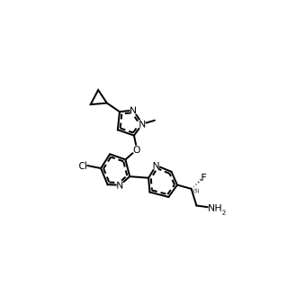 Cn1nc(C2CC2)cc1Oc1cc(Cl)cnc1-c1ccc([C@H](F)CN)cn1